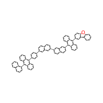 c1ccc2c(-c3c4ccccc4c(-c4ccc(-c5ccc6ccc(-c7ccc8ccc(-c9c%10ccccc%10c(-c%10ccc%11oc%12ccccc%12c%11c%10)c%10ccccc9%10)cc8c7)cc6c5)cc4)c4ccccc34)cccc2c1